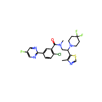 Cc1ncsc1C(CN(C)C(=O)c1cc(-c2ncc(F)cn2)ccc1Cl)N1CCC(F)(F)CC1